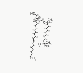 CCCCCCCCC=CCCCCCCCC(=O)[N+]([O-])(CCO)CCO.CCCCCCCCCCCC(C)(C)N=O